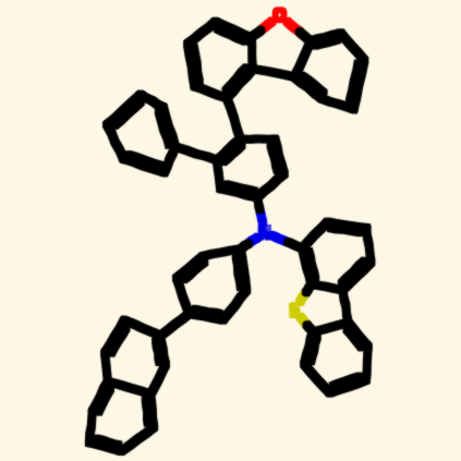 c1ccc(-c2cc(N(c3ccc(-c4ccc5ccccc5c4)cc3)c3cccc4c3sc3ccccc34)ccc2-c2cccc3oc4ccccc4c23)cc1